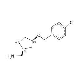 NC[C@@H]1C[C@H](OCc2ccc(Cl)cc2)CN1